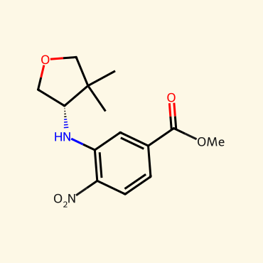 COC(=O)c1ccc([N+](=O)[O-])c(N[C@@H]2COCC2(C)C)c1